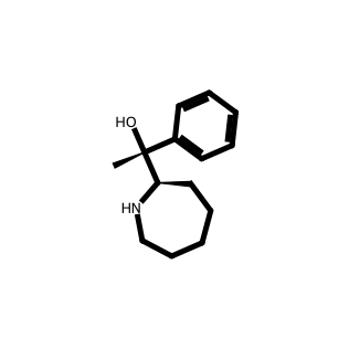 C[C@@](O)(c1ccccc1)[C@H]1CCCCCN1